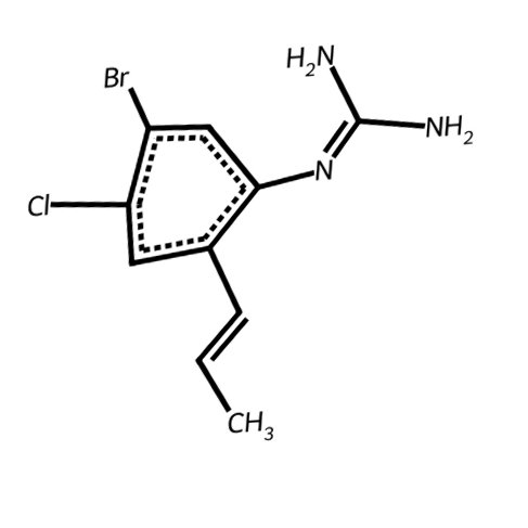 C/C=C/c1cc(Cl)c(Br)cc1N=C(N)N